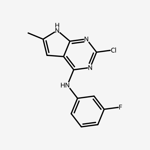 Cc1cc2c(Nc3cccc(F)c3)nc(Cl)nc2[nH]1